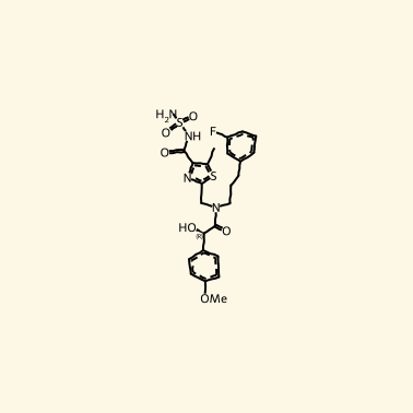 COc1ccc([C@@H](O)C(=O)N(CCCc2cccc(F)c2)Cc2nc(C(=O)NS(N)(=O)=O)c(C)s2)cc1